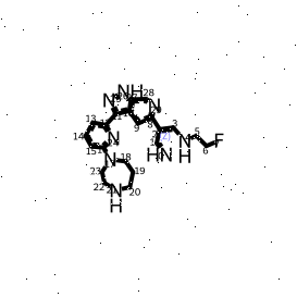 N=C/C(=C\NCCF)c1cc2c(-c3cccc(N4CCCNCC4)n3)n[nH]c2cn1